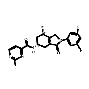 Cc1nccc(C(=O)N[C@H]2CC3=C(CN(c4cc(F)cc(F)c4)C3=O)[C@H](F)C2)n1